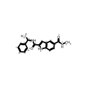 CNC(=O)c1ccc2[nH]c(C(=O)NC(C)c3ccccc3)cc2c1